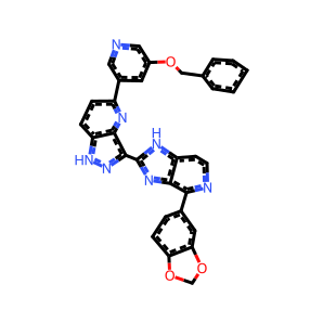 c1ccc(COc2cncc(-c3ccc4[nH]nc(-c5nc6c(-c7ccc8c(c7)OCO8)nccc6[nH]5)c4n3)c2)cc1